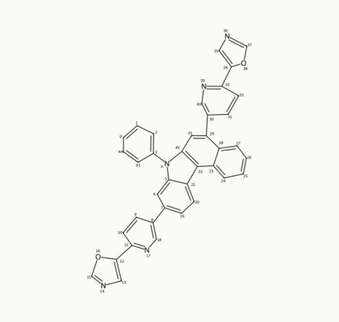 c1ccc(-n2c3cc(-c4ccc(-c5cnco5)nc4)ccc3c3c4ccccc4c(-c4ccc(-c5cnco5)nc4)cc32)cc1